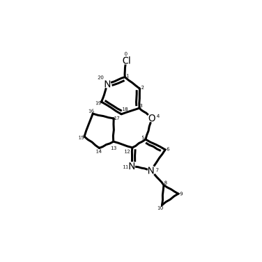 Clc1cc(Oc2cn(C3CC3)nc2C2CCCC2)ccn1